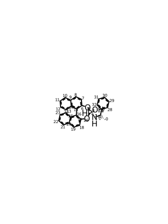 C[C@H](N[PH]1(O)Oc2ccc3ccccc3c2-c2c(ccc3ccccc23)O1)c1ccccc1